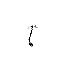 C=CC(O)CCCCCCCCCCCCC#Cc1ccc2ccccc2n1